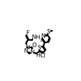 CSc1ccc(-c2ccc(Cn3cnn(C/C(=C/F)CN)c3=O)s2)cn1.Cl